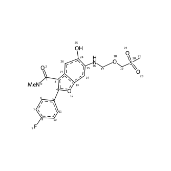 CNC(=O)c1c(-c2ccc(F)cc2)oc2cc(NCOCS(C)(=O)=O)c(O)cc12